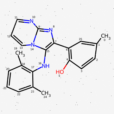 Cc1ccc(O)c(-c2nc3ncccn3c2Nc2c(C)cccc2C)c1